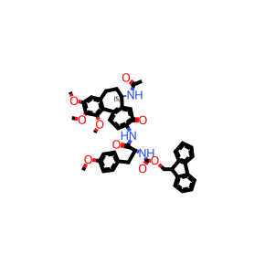 COc1ccc(CC(NC(=O)OCC2c3ccccc3-c3ccccc32)C(=O)Nc2ccc3c(cc2=O)[C@@H](NC(C)=O)CCc2cc(OC)c(OC)c(OC)c2-3)cc1